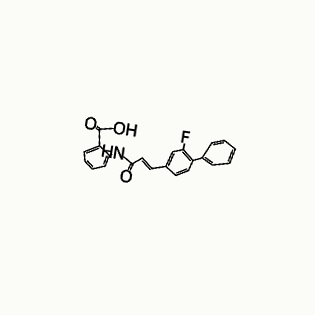 O=C(/C=C/c1ccc(-c2ccccc2)c(F)c1)Nc1ccccc1C(=O)O